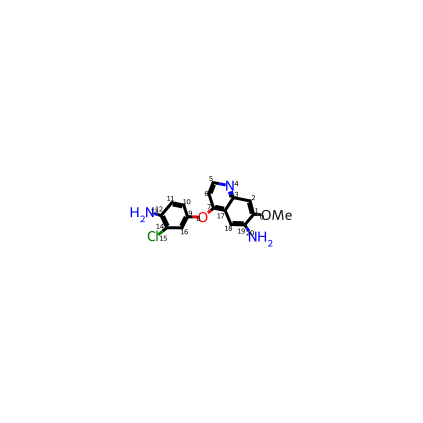 COc1cc2nccc(Oc3ccc(N)c(Cl)c3)c2cc1N